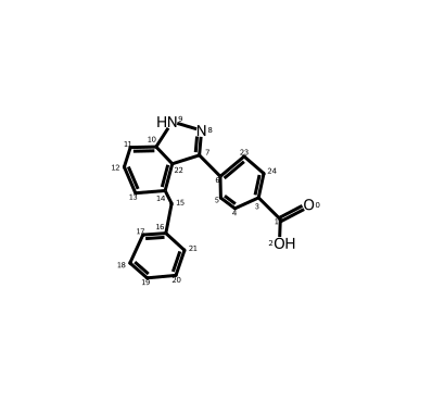 O=C(O)c1ccc(-c2n[nH]c3cccc(Cc4ccccc4)c23)cc1